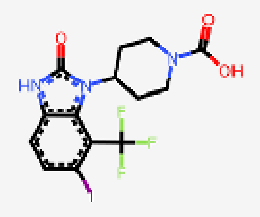 O=C(O)N1CCC(n2c(=O)[nH]c3ccc(I)c(C(F)(F)F)c32)CC1